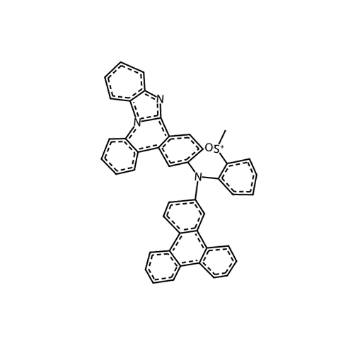 C[S+]([O-])c1ccccc1N(c1ccc2c3ccccc3c3ccccc3c2c1)c1ccc2c(c1)c1ccccc1n1c3ccccc3nc21